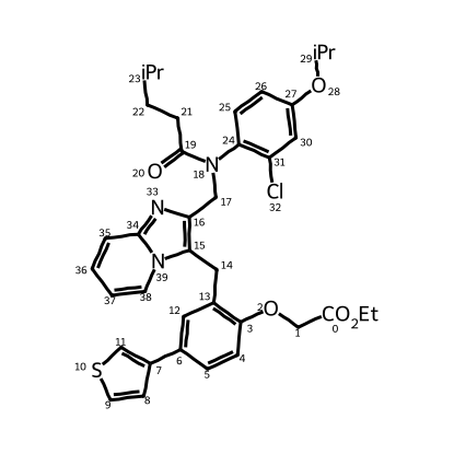 CCOC(=O)COc1ccc(-c2ccsc2)cc1Cc1c(CN(C(=O)CCC(C)C)c2ccc(OC(C)C)cc2Cl)nc2ccccn12